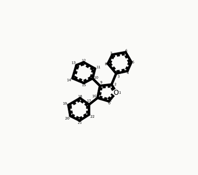 [c]1oc(-c2ccccc2)c(-c2ccccc2)c1-c1ccccc1